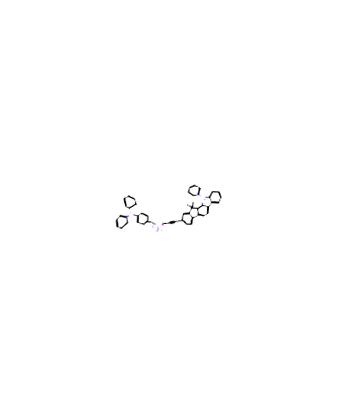 CC1(C)c2cc(C#Cc3nnc(-c4ccc(N(c5ccccc5)c5ccccc5)cc4)o3)ccc2-c2ccc3c4ccccc4n(-c4ccccc4)c3c21